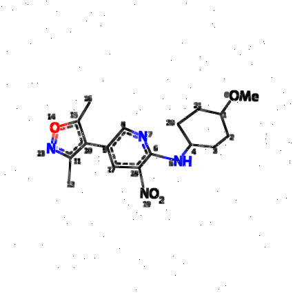 COC1CCC(Nc2ncc(-c3c(C)noc3C)cc2[N+](=O)[O-])CC1